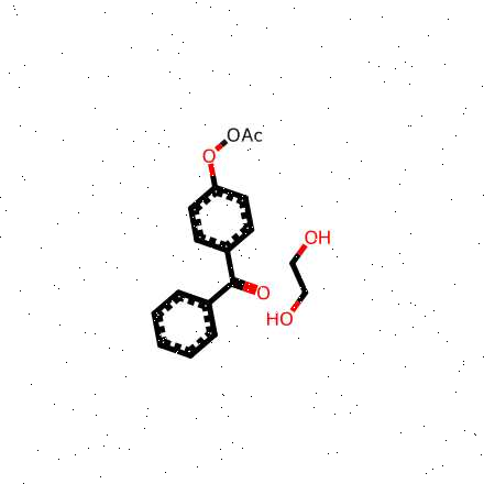 CC(=O)OOc1ccc(C(=O)c2ccccc2)cc1.OCCO